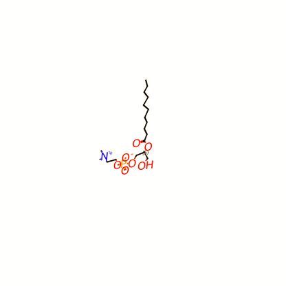 CCCCCCCCCCC(=O)O[C@@H](CO)COP(=O)([O-])OCC[N+](C)(C)C